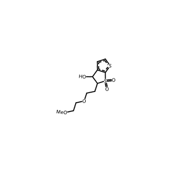 COCCOCCC1C(O)c2ccsc2S1(=O)=O